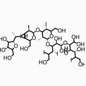 C[C@@H]1C(O[C@H]2OC(CO)[C@@H]3C([C@H]2C)I3[C@@H](C)[C@@H]2OC(CO)[C@@H](O)C2O)[C@H](I)C(CO)O[C@@H]1OC([C@H](I)C(I)CO)[C@@H](O)[C@H](O)O[C@@H](C(O)O)C(O)[C@H](O)C(I)CO